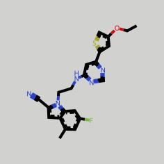 CCOc1csc(-c2cc(NCCn3c(C#N)cc4c(C)cc(F)cc43)ncn2)c1